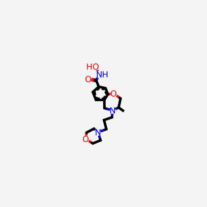 CC1COc2cc(C(=O)NO)ccc2CN1CCCN1CCOCC1